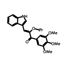 COc1cc(C(=O)/C(=C/c2c[nH]c3ccccc23)OC(C)C)cc(OC)c1OC